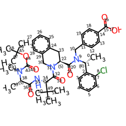 C[C@H](c1ccccc1Cl)N(Cc1ccc(C(=O)O)cc1)C(=O)[C@@H]1Cc2ccccc2CN1C(=O)[C@@H](NC(=O)[C@H](C)N(C)C(=O)OC(C)(C)C)C(C)(C)C